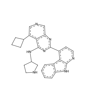 c1ccc2c(c1)[nH]c1nccc(-c3nc(NC4CCNC4)c4c(C5CCC5)cncc4n3)c12